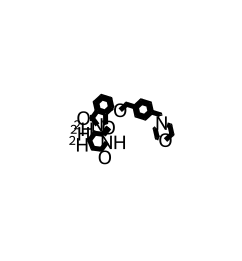 [2H]C1([2H])CC(=O)NC(=O)C1([2H])N1Cc2c(OCc3ccc(CN4CCOCC4)cc3)cccc2C1=O